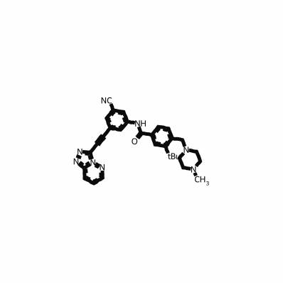 CN1CCN(Cc2ccc(C(=O)Nc3cc(C#N)cc(C#Cc4nnc5cccnn45)c3)cc2C(C)(C)C)CC1